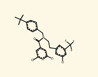 CC(C)(C)c1ccc(CN(CCc2cc(Cl)cc(C(F)(F)F)c2)C(=O)c2cc(Cl)nc(Cl)c2)cc1